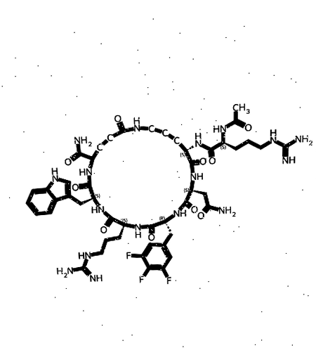 CC(=O)N[C@@H](CCCNC(=N)N)C(=O)N[C@H]1CCCNC(=O)CCC(C(N)=O)NC(=O)[C@H](Cc2c[nH]c3ccccc23)NC(=O)[C@H](CCCNC(=N)N)NC(=O)[C@@H](Cc2cc(F)c(F)c(F)c2)NC(=O)[C@H](CC(N)=O)NC1=O